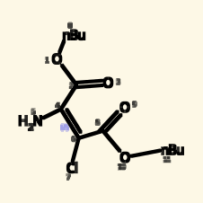 CCCCOC(=O)/C(N)=C(/Cl)C(=O)OCCCC